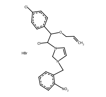 Br.C=CCOC(c1ccc(Cl)cc1)C(Cl)N1C=CN(Cc2ccccc2[N+](=O)[O-])C1